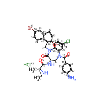 CNC(C)C(=O)NC1CN(C(=O)c2ccc(N)cc2)c2cc(Cl)ccc2N(Cc2c(OC)ccc3cc(Br)ccc23)C1=O.Cl